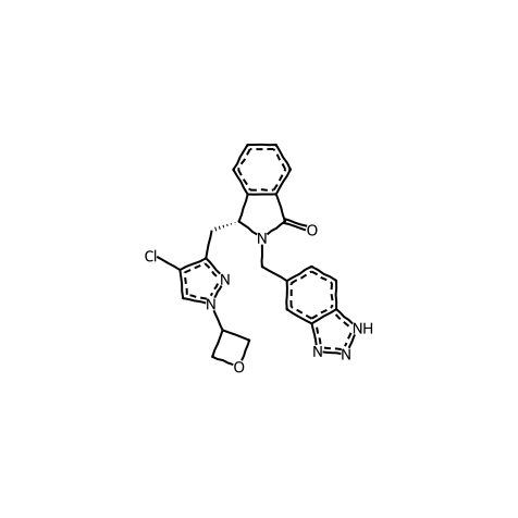 O=C1c2ccccc2[C@@H](Cc2nn(C3COC3)cc2Cl)N1Cc1ccc2[nH]nnc2c1